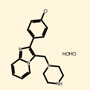 Cl.Cl.Clc1ccc(-c2nc3ccccn3c2CN2CCNCC2)cc1